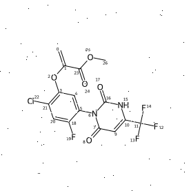 C=C(Oc1cc(-n2c(=O)cc(C(F)(F)F)[nH]c2=O)c(F)cc1Cl)C(=O)OC